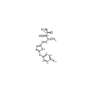 CC(C=Cc1ccc(Cc2ccc(F)cc2)s1)N(O)C(N)=O